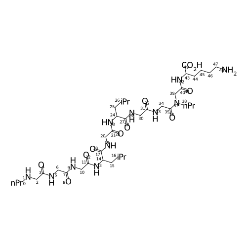 CCCNCC(=O)NCC(=O)NCC(=O)NC(CC(C)C)C(=O)NCC(=O)NC(CC(C)C)C(=O)NCC(=O)NCC(=O)N(CCC)CC(=O)NC(CCCCN)C(=O)O